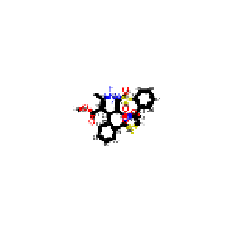 COC(=O)C1=C(C)NC(C)=C(C(=O)OC)C1c1ccccc1-c1nc(-c2ccccc2S(N)(=O)=O)cs1